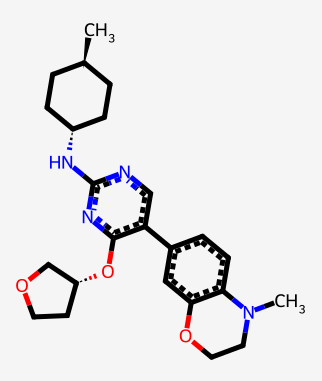 CN1CCOc2cc(-c3cnc(N[C@H]4CC[C@H](C)CC4)nc3O[C@@H]3CCOC3)ccc21